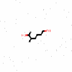 [CH2]C(CCCCO)C(C)O